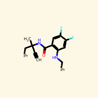 C#CC(C)(CC(C)C)NC(=O)c1cc(F)c(F)cc1NCC(C)C